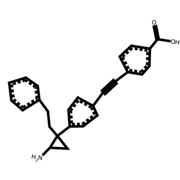 NC1CC1(CCc1ccccc1)c1ccc(C#Cc2ccc(C(=O)O)cc2)cc1